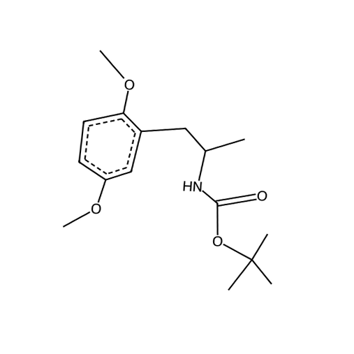 COc1ccc(OC)c(CC(C)NC(=O)OC(C)(C)C)c1